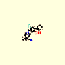 CC(C)(C)C1(CC#N)CCN(Cc2cc(O)c(-c3ccccc3)cc2F)CC1